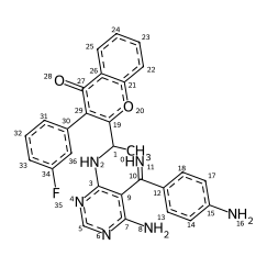 CC(Nc1ncnc(N)c1C(=N)c1ccc(N)cc1)c1oc2ccccc2c(=O)c1-c1cccc(F)c1